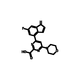 O=C(O)c1nc(-c2cc(F)cc3[nH]ccc23)cc(N2CCOCC2)n1